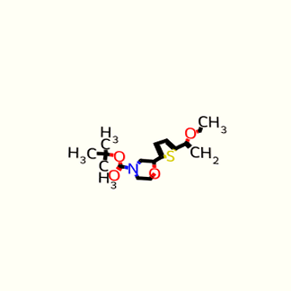 C=C(OCC)c1ccc(C2CN(C(=O)OC(C)(C)C)CCO2)s1